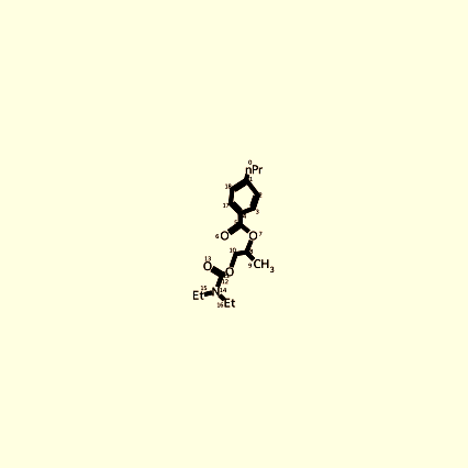 CCCc1ccc(C(=O)OC(C)COC(=O)N(CC)CC)cc1